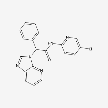 O=C(Nc1ccc(Cl)cn1)C(c1ccccc1)n1cnc2cccnc21